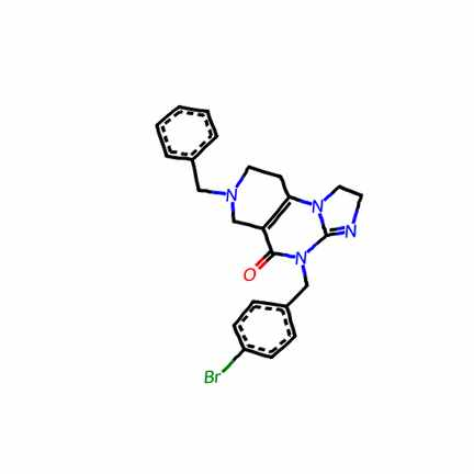 O=C1C2=C(CCN(Cc3ccccc3)C2)N2CCN=C2N1Cc1ccc(Br)cc1